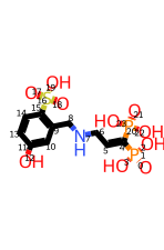 O=P(O)(O)C(=CCNCc1cc(O)ccc1S(=O)(=O)O)P(=O)(O)O